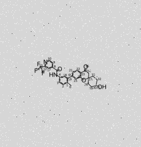 Cc1ccc(NC(=O)c2ccnc(C(F)(F)F)c2)cc1-c1ccc2c(c1)O[C@]1(CC[C@H](O)CC1)CC2=O